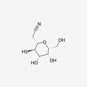 N#CC[C@@H]1O[C@H](CO)[C@H](O)[C@H](O)[C@H]1S